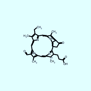 CCC1=C(C)c2cc3[nH]c(cc4nc(c5c6[nH]c(cc1n2)c(C)c6C(=O)C5)C(CCC(=O)O)[C@@H]4C)c(C)c3C=O